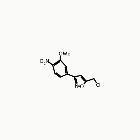 COc1cc(-c2cc(CCl)on2)ccc1[N+](=O)[O-]